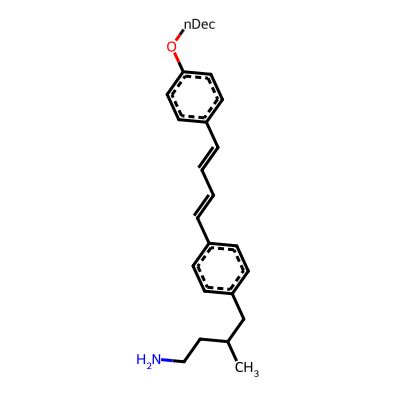 CCCCCCCCCCOc1ccc(C=CC=Cc2ccc(CC(C)CCN)cc2)cc1